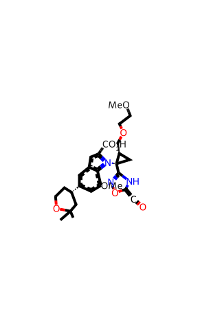 COCCOC[C@H]1C[C@]1(C1=NOC(=C=O)N1)n1c(C(=O)O)cc2cc([C@H]3CCOC(C)(C)C3)cc(OC)c21